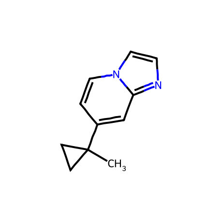 CC1(c2ccn3ccnc3c2)CC1